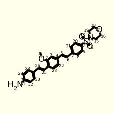 COc1cc(C=Cc2ccc(S(=O)(=O)N3CCOCC3)cc2)ccc1C=Cc1ccc(N)cc1